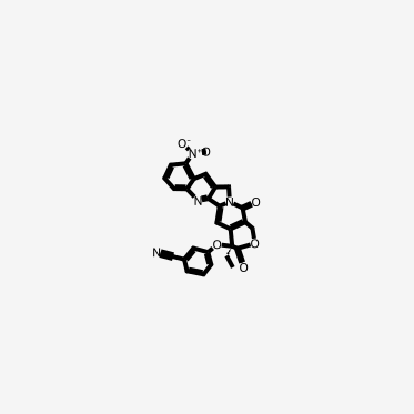 CC[C@@]1(Oc2cccc(C#N)c2)C(=O)OCc2c1cc1n(c2=O)Cc2cc3c([N+](=O)[O-])cccc3nc2-1